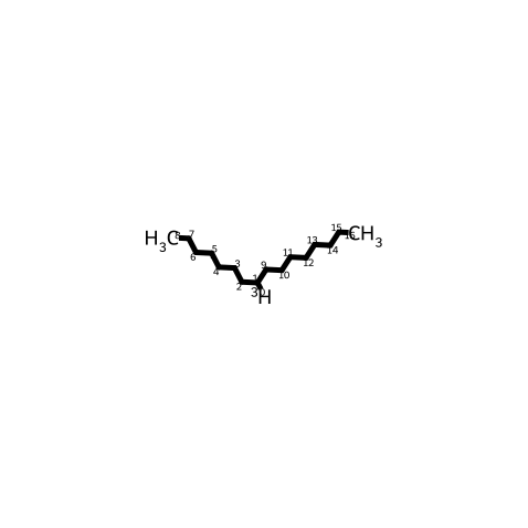 [3H]C(CCC[CH]CCC)CCCCCCCC